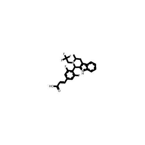 CC1Cc2c([nH]c3ccccc23)C(c2c(F)cc(/C=C/C(=O)O)cc2F)N1CC(F)(F)F